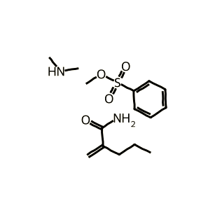 C=C(CCC)C(N)=O.CNC.COS(=O)(=O)c1ccccc1